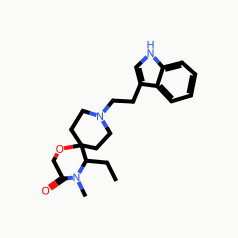 CCC1N(C)C(=O)COC12CCN(CCc1c[nH]c3ccccc13)CC2